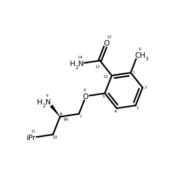 Cc1cccc(OC[C@H](N)CC(C)C)c1C(N)=O